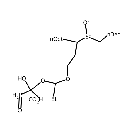 CCCCCCCCCCC[S+]([O-])C(CCCCCCCC)CCOC(CC)OC(O)([PH2]=O)C(=O)O